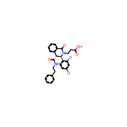 O=C(O)CCN1C(=O)c2ccccc2[C@@H](C(=O)NCCc2ccccc2)[C@@H]1c1ccc(Cl)cc1Cl